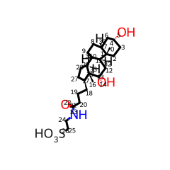 C[C@]12CC[C@@H](O)C[C@H]1CC[C@@H]1[C@@H]2C[C@H](O)[C@]2(C)[C@@H](CCCC(=O)NCCS(=O)(=O)O)CC[C@@H]12